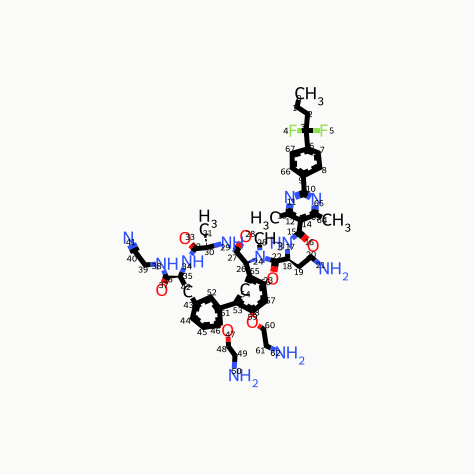 CCCC(F)(F)c1ccc(-c2nc(C)c(C(=O)N[C@@H](CCN)C(=O)N(C)[C@@H]3C(=O)N[C@@H](C)C(=O)N[C@H](C(=O)NCC#N)Cc4ccc(OCCN)c(c4)-c4cc3ccc4OCCN)c(C)n2)cc1